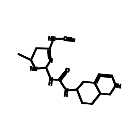 CONC1=NC(NC(=O)NC2CCC3CNC=C=C3C2)NC(C)C1